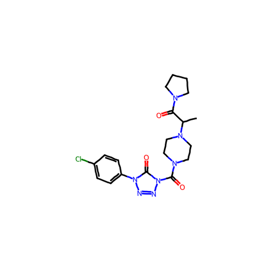 CC(C(=O)N1CCCC1)N1CCN(C(=O)n2nnn(-c3ccc(Cl)cc3)c2=O)CC1